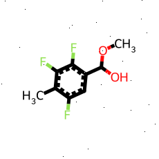 COC(O)c1cc(F)c(C)c(F)c1F